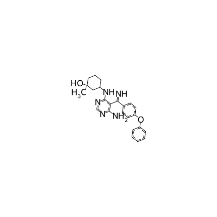 C[C@]1(O)CCCC(Nc2ncnc(N)c2C(=N)c2ccc(Oc3ccccc3)cc2)C1